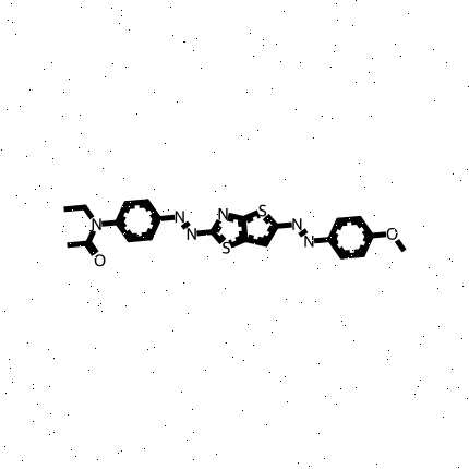 CCN(C(C)=O)c1ccc(N=Nc2nc3sc(N=Nc4ccc(OC)cc4)cc3s2)cc1